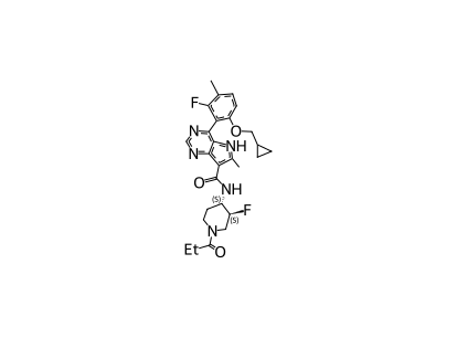 CCC(=O)N1CC[C@H](NC(=O)c2c(C)[nH]c3c(-c4c(OCC5CC5)ccc(C)c4F)ncnc23)[C@@H](F)C1